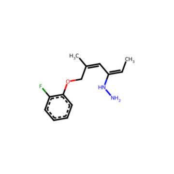 C/C=C(\C=C(\C)COc1ccccc1F)NN